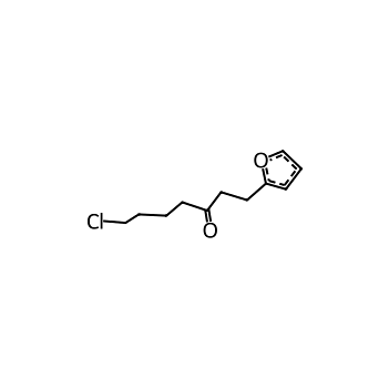 O=C(CCCCCl)CCc1ccco1